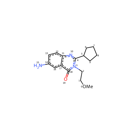 COCCn1c(C2CCCC2)nc2ccc(N)cc2c1=O